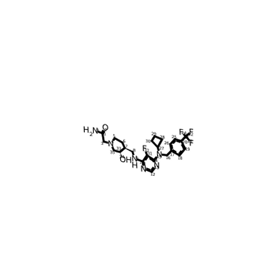 NC(=O)CN1CC[C@@H](CNc2ncnc(N(Cc3ccc(C(F)(F)F)cc3)C3CCC3)c2F)[C@H](O)C1